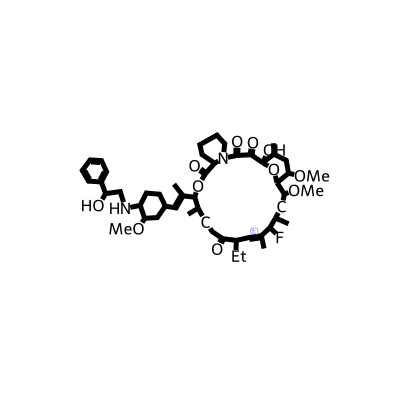 CCC1/C=C(\C)C(F)C(C)CC(OC)C2OC(O)(C(=O)C(=O)N3CCCCC3C(=O)OC(C(C)=CC3CCC(NCC(O)c4ccccc4)C(OC)C3)C(C)CCC1=O)C(C)CC2OC